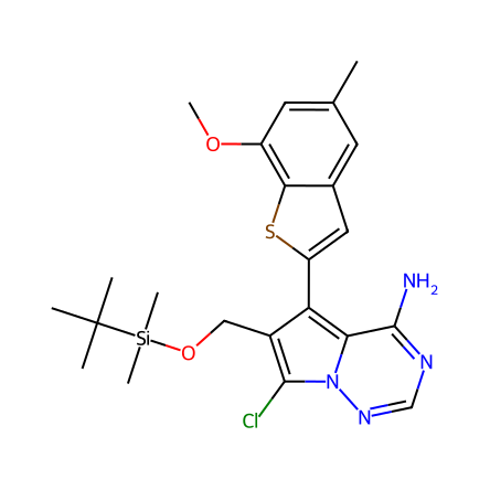 COc1cc(C)cc2cc(-c3c(CO[Si](C)(C)C(C)(C)C)c(Cl)n4ncnc(N)c34)sc12